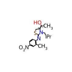 Cc1cc([N+](=O)[O-])ccc1N=C1SC[C@@H]([C@@H](C)O)N1CC(C)C